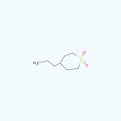 [CH2]CCC1CCS(=O)(=O)CC1